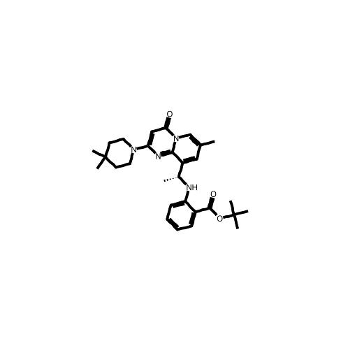 Cc1cc([C@@H](C)Nc2ccccc2C(=O)OC(C)(C)C)c2nc(N3CCC(C)(C)CC3)cc(=O)n2c1